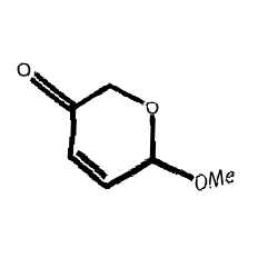 COC1C=CC(=O)CO1